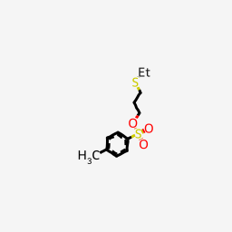 CCSCCCOS(=O)(=O)c1ccc(C)cc1